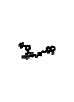 O=C(NC(CCO[C@H]1C[C@H](CCc2ccc3c(n2)NCCC3)C1)C(=O)O)c1cccc(-c2cncs2)c1